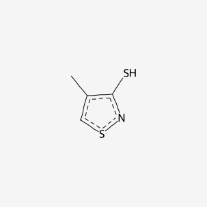 Cc1csnc1S